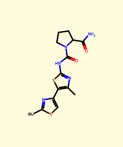 Cc1nc(NC(=O)N2CCCC2C(N)=O)sc1-c1csc(C(C)(C)C)n1